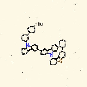 CCCCc1ccc(-c2cccc(-n3c4ccccc4c4cc(-c5ccc6c(c5)c5ccccc5n6-c5cccc6sc7ccc(-c8ccccc8)cc7c56)ccc43)c2)cc1